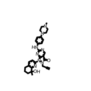 C#CCn1c(=O)c2cnc(Nc3ccc(N4CCN(C)CC4)cc3)nc2n1-c1ccc2c(n1)C(C)(O)CCC2